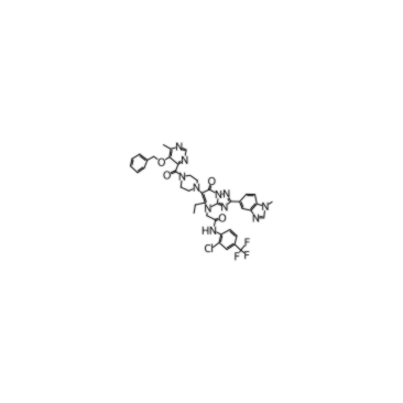 CCc1c(N2CCN(C(=O)c3ncnc(C)c3OCc3ccccc3)CC2)c(=O)n2nc(-c3ccc4c(c3)ncn4C)nc2n1CC(=O)Nc1ccc(C(F)(F)F)cc1Cl